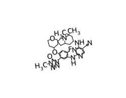 Cn1nnn(-c2cc(Nc3ncc(C#N)c(N[C@@H]4CC5CCCN5C(C)(C)C4)n3)c(F)cc2OC2CCOCC2)c1=O